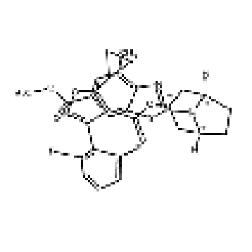 COC(=O)c1cc(C)c2nc(N3[C@@H]4CC[C@H]3C[C@@H](OC(=O)c3c(-c5c(F)cccc5F)noc3C3CC3)C4)sc2c1